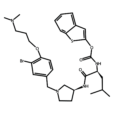 CC(C)C[C@H](NC(=O)Oc1cc2ccccc2s1)C(=O)N[C@H]1CCN(Cc2ccc(OCCCN(C)C)c(Br)c2)C1